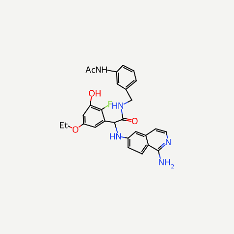 CCOc1cc(O)c(F)c(C(Nc2ccc3c(N)nccc3c2)C(=O)NCc2cccc(NC(C)=O)c2)c1